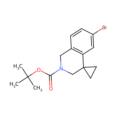 CC(C)(C)OC(=O)N1Cc2ccc(Br)cc2C2(CC2)C1